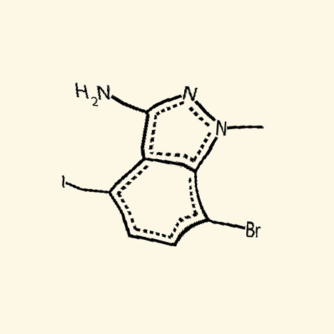 Cn1nc(N)c2c(I)ccc(Br)c21